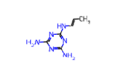 CC=CNc1nc(N)nc(N)n1